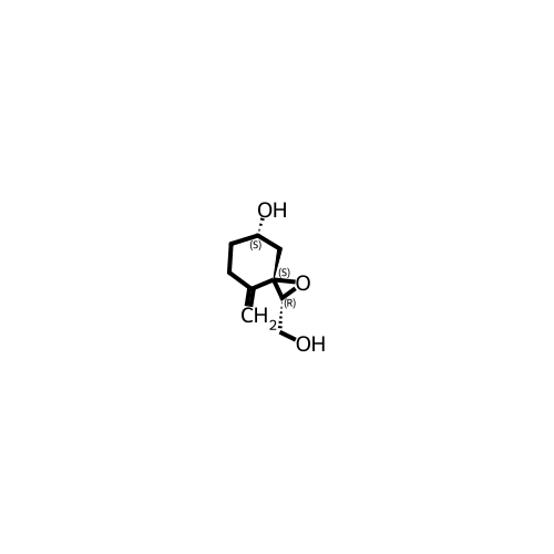 C=C1CC[C@H](O)C[C@]12O[C@@H]2CO